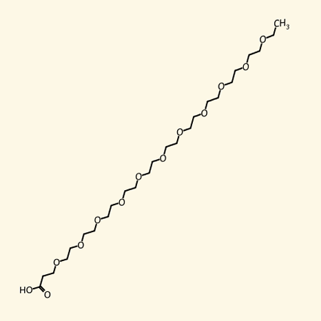 CCOCCOCCOCCOCCOCCOCCOCCOCCOCCOCCOCCC(=O)O